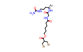 CC(=O)[C@H](CCCNC(N)=O)NC(=O)CNC(=O)CCCCCOC(=O)C(CBr)CBr